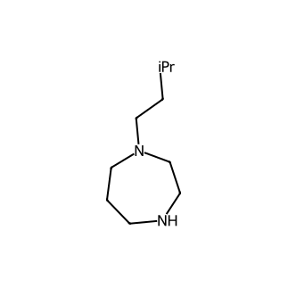 CC(C)CCN1CCCNCC1